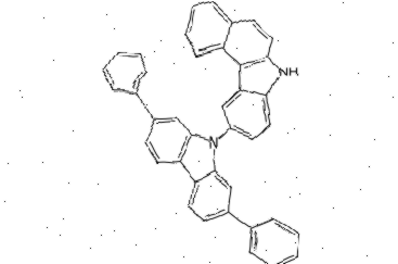 c1ccc(-c2ccc3c4ccc(-c5ccccc5)cc4n(-c4ccc5[nH]c6ccc7ccccc7c6c5c4)c3c2)cc1